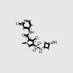 Cn1cc(S(=O)(=O)N[C@H]2C[C@@H](O)C2)c(Cl)c1C(=O)Nc1ccnc(Cl)c1